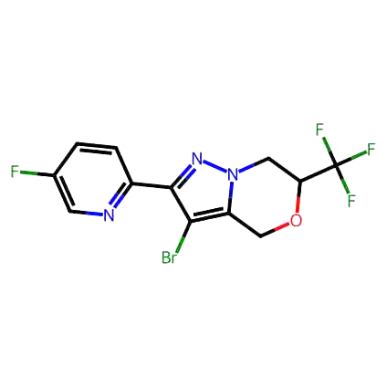 Fc1ccc(-c2nn3c(c2Br)COC(C(F)(F)F)C3)nc1